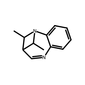 CC1C2C=Nc3ccccc3N1C2C